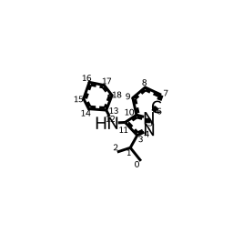 CC(C)c1nn2ccccc2c1Nc1ccccc1